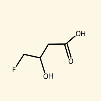 O=C(O)CC(O)CF